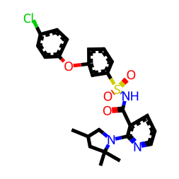 CC1CN(c2ncccc2C(=O)NS(=O)(=O)c2cccc(Oc3ccc(Cl)cc3)c2)C(C)(C)C1